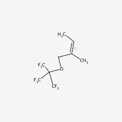 C/C=C(/C)COC(C(F)(F)F)(C(F)(F)F)C(F)(F)F